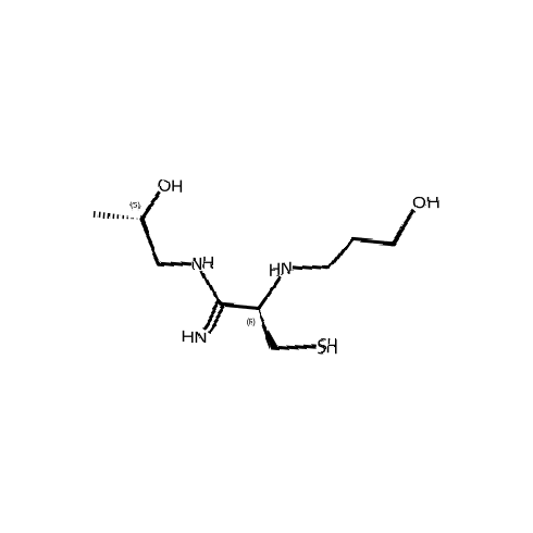 C[C@H](O)CNC(=N)[C@H](CS)NCCCO